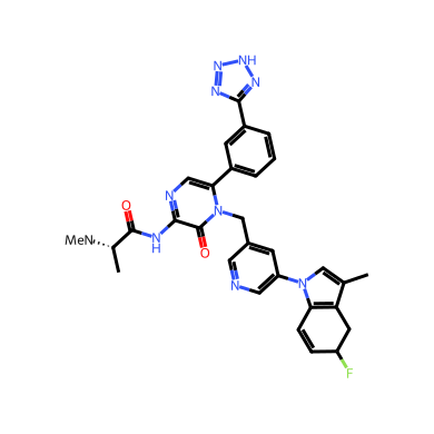 CN[C@@H](C)C(=O)Nc1ncc(-c2cccc(-c3nn[nH]n3)c2)n(Cc2cncc(-n3cc(C)c4c3C=CC(F)C4)c2)c1=O